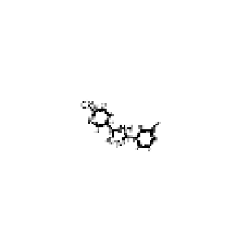 Cc1cccc(C2=NOC(c3ccc(Cl)nc3)N2)c1